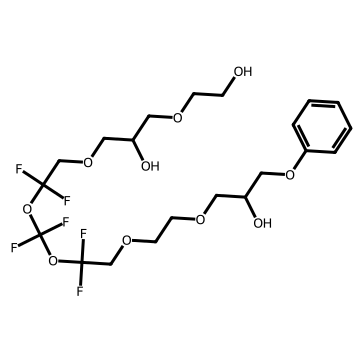 OCCOCC(O)COCC(F)(F)OC(F)(F)OC(F)(F)COCCOCC(O)COc1ccccc1